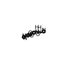 O=C(NCc1cccnc1)Nc1ccc(S(=O)(=O)N2CCN(c3ncccn3)CC2)cc1